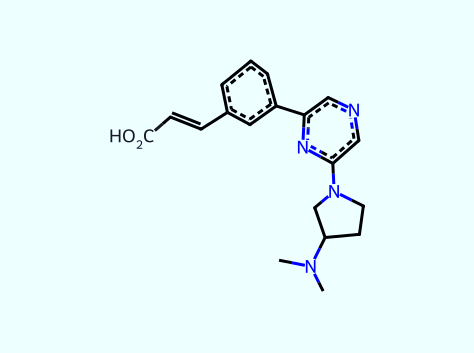 CN(C)C1CCN(c2cncc(-c3cccc(/C=C/C(=O)O)c3)n2)C1